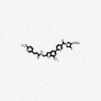 COC1CN(C(=O)c2ccc(-c3cc(C(F)(F)F)c4oc(CNC(=O)/C=C/c5ccc(N)nc5)cc4c3)nc2)CC1F